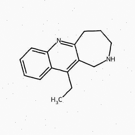 CCc1c2c(nc3ccccc13)CCCNC2